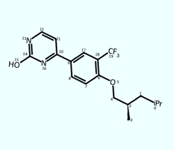 CC(C)C[C@@H](C)COc1ccc(-c2ccnc(O)n2)cc1C(F)(F)F